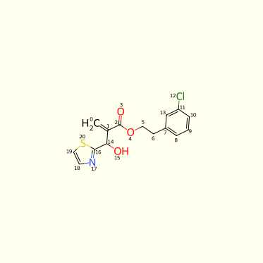 C=C(C(=O)OCCc1cccc(Cl)c1)C(O)c1nccs1